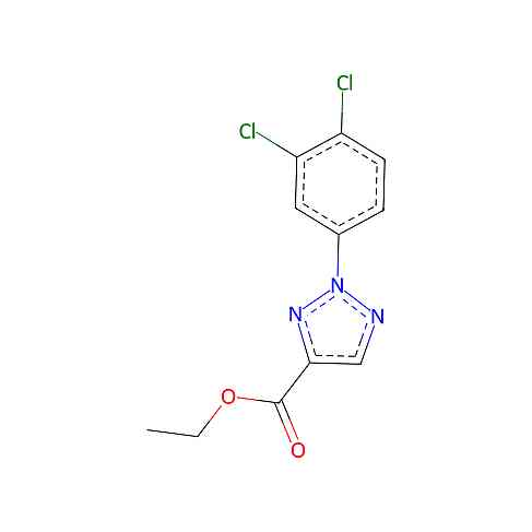 CCOC(=O)c1cnn(-c2ccc(Cl)c(Cl)c2)n1